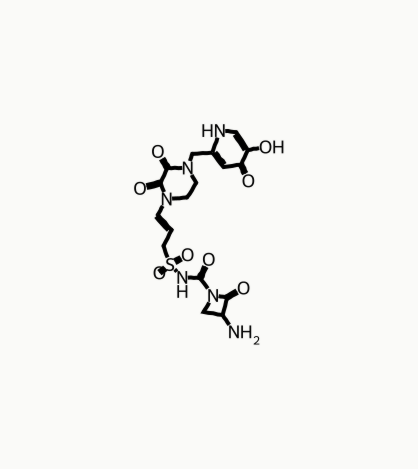 NC1CN(C(=O)NS(=O)(=O)CC=CN2CCN(Cc3cc(=O)c(O)c[nH]3)C(=O)C2=O)C1=O